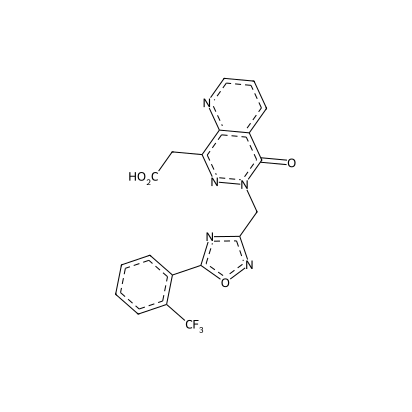 O=C(O)Cc1nn(Cc2noc(-c3ccccc3C(F)(F)F)n2)c(=O)c2cccnc12